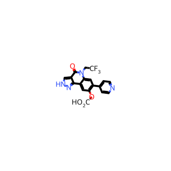 O=C(O)Oc1cc2c3n[nH]cc3c(=O)n(CC(F)(F)F)c2cc1-c1ccncc1